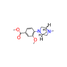 COC(=O)c1ccc(N2C[C@H]3C[C@@H]2CN3C)c(OC)c1